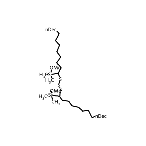 CCCCCCCCCCCCCCCCCC(SSSC(CCCCCCCCCCCCCCCCC)[Si](C)(C)OC)[Si](C)(C)OC